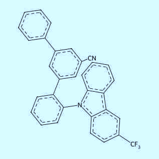 N#Cc1cc(-c2ccccc2)cc(-c2ccccc2-n2c3ccccc3c3cc(C(F)(F)F)ccc32)c1